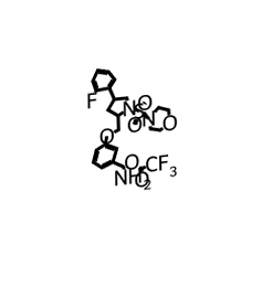 NC(OC(=O)C(F)(F)F)c1cccc(OCC2CC(c3ccccc3F)CN2S(=O)(=O)N2CCOCC2)c1